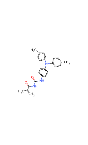 C=C(C)C(=O)NC(=O)Nc1ccc(N(c2ccc(C)cc2)c2ccc(C)cc2)cc1